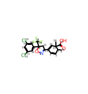 CC1C=CC(C2=NOC(c3cc(Cl)cc(Cl)c3)(C(F)(F)F)C2)=CC1(C)C(=O)O